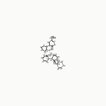 CC(C)(C)C1=CCNC(c2ccccc2C[C@@H]2c3ccc4c5c(oc4c3C3C=CC=CN32)C=CCC5)=C1